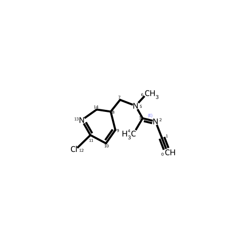 C#C/N=C(\C)N(C)CC1C=CC(Cl)=NC1